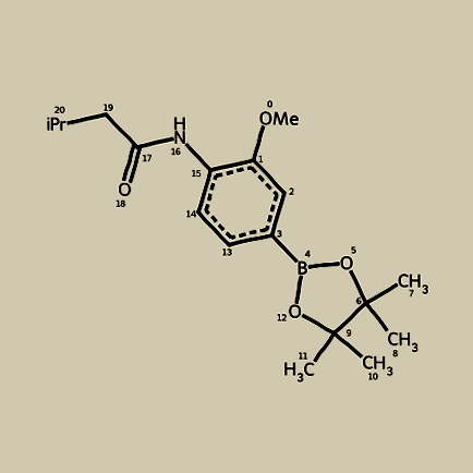 COc1cc(B2OC(C)(C)C(C)(C)O2)ccc1NC(=O)CC(C)C